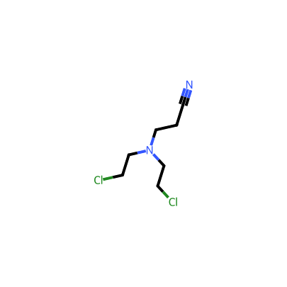 N#CCCN(CCCl)CCCl